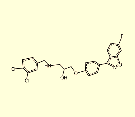 OC(CNCc1ccc(Cl)c(Cl)c1)COc1ccc(-c2noc3cc(F)ccc23)cc1